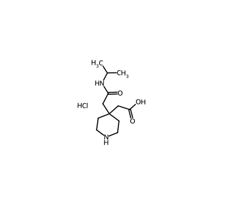 CC(C)NC(=O)CC1(CC(=O)O)CCNCC1.Cl